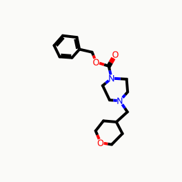 O=C(OCc1ccccc1)N1CCN(CC2CCOCC2)CC1